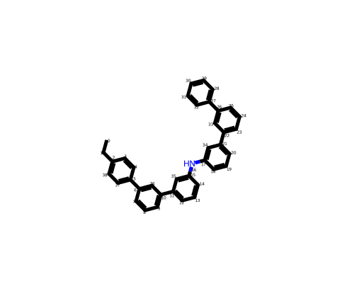 CCc1ccc(-c2cccc(-c3cccc(Nc4cccc(-c5cccc(-c6ccccc6)c5)c4)c3)c2)cc1